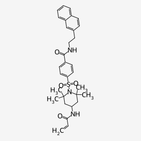 C=CC(=O)NC1CC(C)(C)N(S(=O)(=O)c2ccc(C(=O)NCCc3ccc4ccccc4c3)cc2)C(C)(C)C1